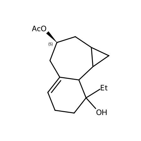 CCC1(O)CCC=C2C[C@@H](OC(C)=O)CC3CC3C21